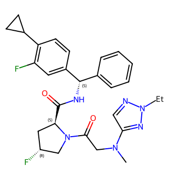 CCn1ncc(N(C)CC(=O)N2C[C@H](F)C[C@H]2C(=O)N[C@@H](c2ccccc2)c2ccc(C3CC3)c(F)c2)n1